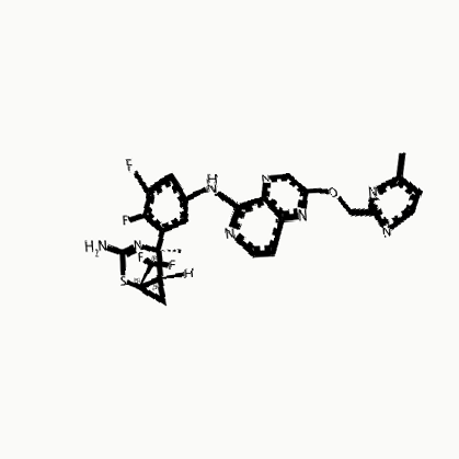 Cc1ccnc(COc2cnc3c(Nc4cc(F)c(F)c([C@]5(C)N=C(N)S[C@@]6(C(F)F)C[C@@H]56)c4)nccc3n2)n1